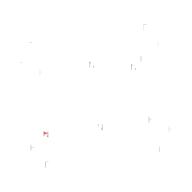 N#Cc1cc(-n2c3cc(C(F)(F)F)ccc3c3ccc(C(F)(F)F)cc32)c(-c2ccncc2)cc1-n1c2cc(C(F)(F)F)ccc2c2ccc(C(F)(F)F)cc21